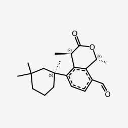 C[C@H]1OC(=O)[C@H](C)c2c([C@@]3(C)CCCC(C)(C)C3)ccc(C=O)c21